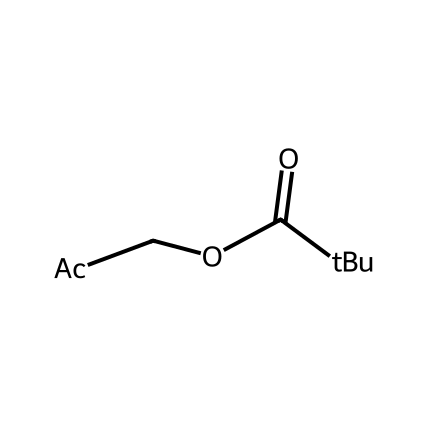 [CH2]C(=O)COC(=O)C(C)(C)C